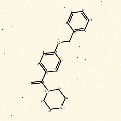 C=C(c1ccc(OCc2ccccc2)cc1)N1CCNCC1